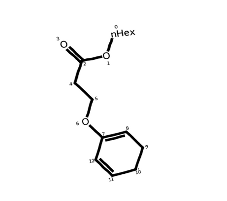 CCCCCCOC(=O)CCOC1=CC[CH]C=C1